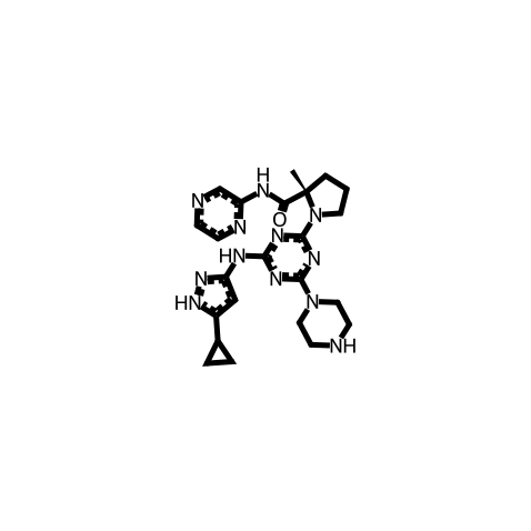 C[C@@]1(C(=O)Nc2cnccn2)CCCN1c1nc(Nc2cc(C3CC3)[nH]n2)nc(N2CCNCC2)n1